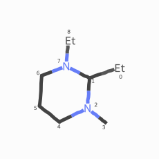 CCC1N(C)CCCN1CC